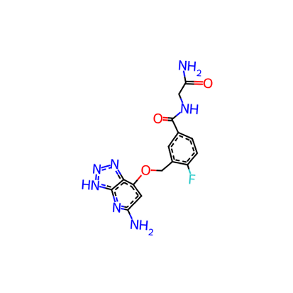 NC(=O)CNC(=O)c1ccc(F)c(COc2cc(N)nc3[nH]nnc23)c1